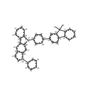 CC1(C)c2ccccc2-c2ccc(-c3ccc(-n4c5ccccc5c5cc6ccn(-c7ccccc7)c6cc54)cc3)cc21